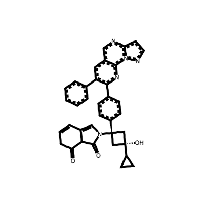 O=C1CC=CC2=CN([C@]3(c4ccc(-c5nc6c(cnc7ccnn76)cc5-c5ccccc5)cc4)C[C@@](O)(C4CC4)C3)C(=O)C12